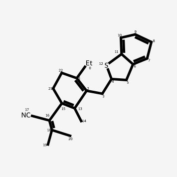 CCC1=C(CC2Cc3ccccc3S2)C(C)=C(C(C#N)=C(C)C)CC1